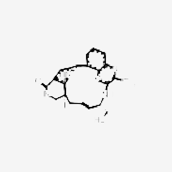 Cc1nc2cccc3c2nc1N[C@H](CO)/C=C/C[C@H]1CNC(=O)c2cc-3[nH]c21